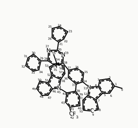 Cc1ccc2c(c1)c1ccccc1n2-c1ccc(-c2nc(-c3ccccc3)nc(-c3ccccc3)n2)cc1-c1ccc(C(F)(F)F)cc1-n1c2ccccc2c2cc(C)ccc21